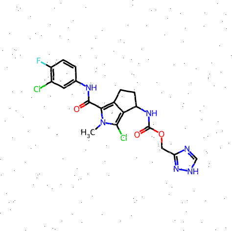 Cn1c(Cl)c2c(c1C(=O)Nc1ccc(F)c(Cl)c1)CCC2NC(=O)OCc1nc[nH]n1